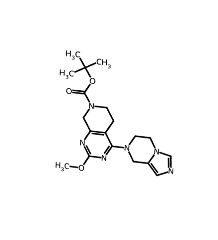 COc1nc2c(c(N3CCn4cncc4C3)n1)CCN(C(=O)OC(C)(C)C)C2